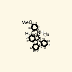 COc1ccc(NC(=O)C[P+](c2ccccc2)(c2ccccc2)c2ccccc2)c(C)c1.[Cl-]